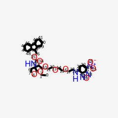 CCOC(=O)C(CC)(CCOCCOCCOCCNc1ccc([N+](=O)[O-])c2nonc12)NC(=O)OCC1c2ccccc2-c2ccccc21